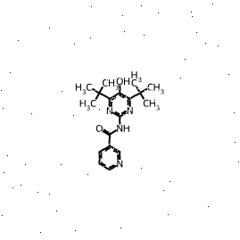 CC(C)(C)c1nc(NC(=O)c2cccnc2)nc(C(C)(C)C)c1O